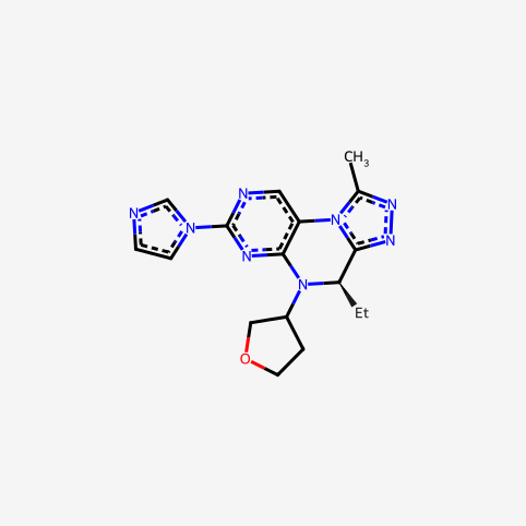 CC[C@@H]1c2nnc(C)n2-c2cnc(-n3ccnc3)nc2N1C1CCOC1